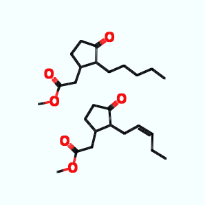 CC/C=C\CC1C(=O)CCC1CC(=O)OC.CCCCCC1C(=O)CCC1CC(=O)OC